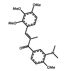 COc1ccc(C(=O)/C(C)=C/c2ccc(OC)c(OC)c2OC)cc1N(C)C